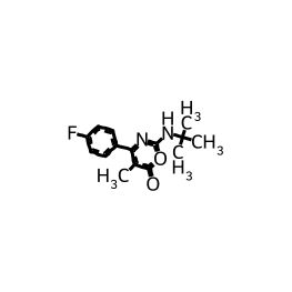 Cc1c(-c2ccc(F)cc2)nc(NC(C)(C)C)oc1=O